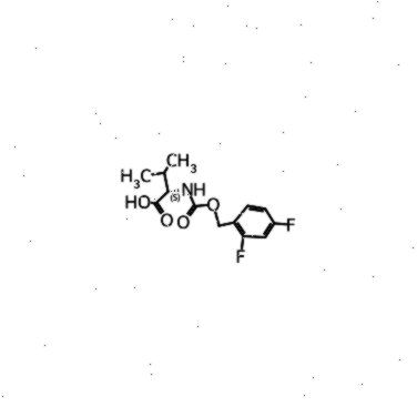 CC(C)[C@H](NC(=O)OCc1ccc(F)cc1F)C(=O)O